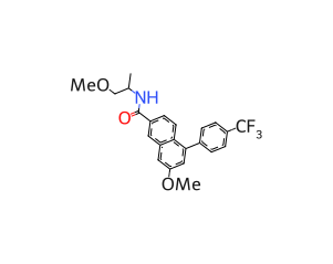 COCC(C)NC(=O)c1ccc2c(-c3ccc(C(F)(F)F)cc3)cc(OC)cc2c1